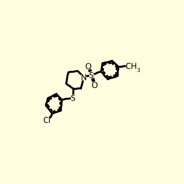 Cc1ccc(S(=O)(=O)N2CCCC(Sc3cccc(Cl)c3)C2)cc1